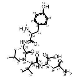 CC(C)C[C@H](NC(=O)[C@@H](N)Cc1ccc(O)cc1)C(=O)N[C@H](C(=O)N[C@@H](CC(N)=O)C(=O)O)C(C)C